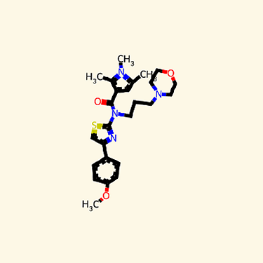 COc1ccc(-c2csc(N(CCCN3CCOCC3)C(=O)c3cc(C)n(C)c3C)n2)cc1